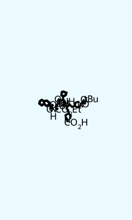 CCOC(=O)C(CNC(=O)C(NC(=O)C(CCC1CCN(C(=O)O)CC1)CCC1CCN(C(=O)OC(C)(C)C)CC1)c1ccccc1)NS(=O)(=O)c1ccc2ccccc2c1